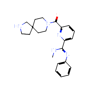 CN/C(=N\c1ccccc1)c1cccc(C(=O)N2CCC3(CCNC3)CC2)n1